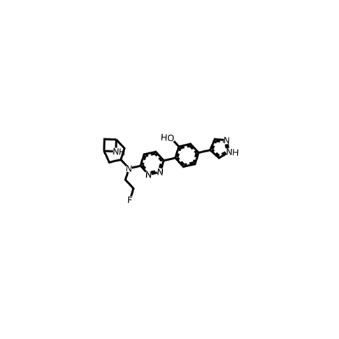 Oc1cc(-c2cn[nH]c2)ccc1-c1ccc(N(CCF)C2CC3CC(C2)N3)nn1